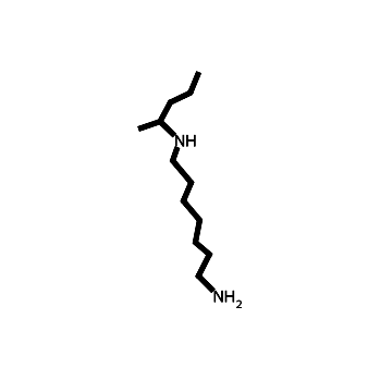 CCCC(C)NCCCCCCCN